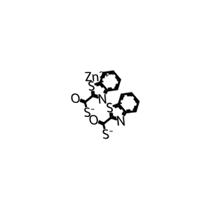 O=C([S-])c1nc2ccccc2s1.O=C([S-])c1nc2ccccc2s1.[Zn+2]